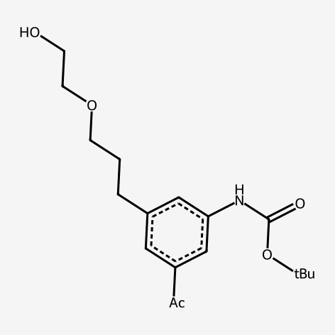 CC(=O)c1cc(CCCOCCO)cc(NC(=O)OC(C)(C)C)c1